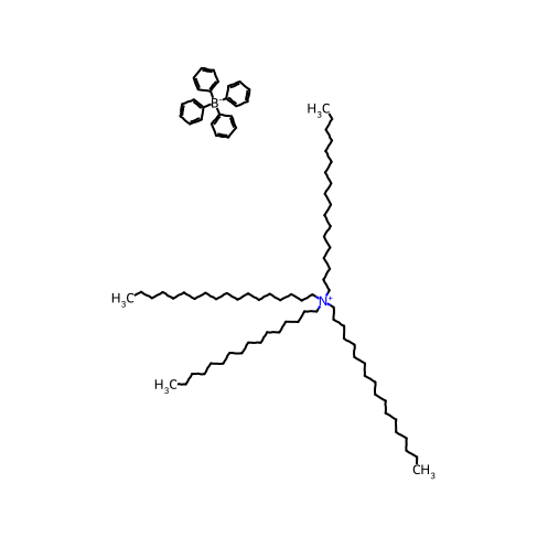 CCCCCCCCCCCCCCCCCC[N+](CCCCCCCCCCCCCCCC)(CCCCCCCCCCCCCCCCCC)CCCCCCCCCCCCCCCCCC.c1ccc([B-](c2ccccc2)(c2ccccc2)c2ccccc2)cc1